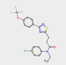 CCN(C(=O)CCc1nc(-c2ccc(OC(F)(F)F)cc2)ns1)c1ccc(Cl)cc1